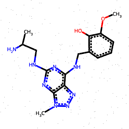 COc1cccc(CNc2nc(NCC(C)N)nc3c2nnn3C)c1O